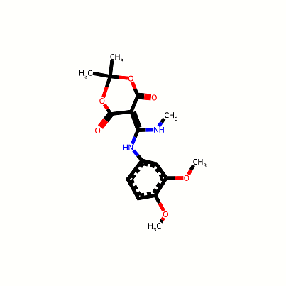 CNC(Nc1ccc(OC)c(OC)c1)=C1C(=O)OC(C)(C)OC1=O